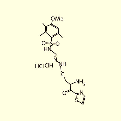 COc1cc(C)c(S(=O)(=O)NC=NNCCCC(N)C(=O)c2nccs2)c(C)c1C.Cl.Cl